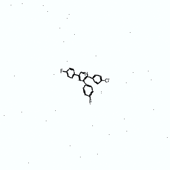 Fc1ccc(-c2[c]c(-c3ccc(F)cc3)c(-c3ccc(Cl)cc3)nc2)cc1